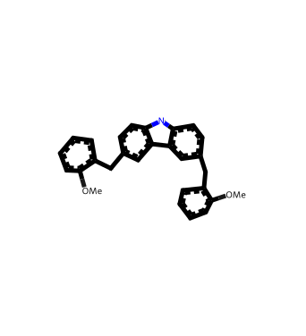 COc1ccccc1Cc1ccc2c(c1)-c1cc(Cc3ccccc3OC)ccc1[N]2